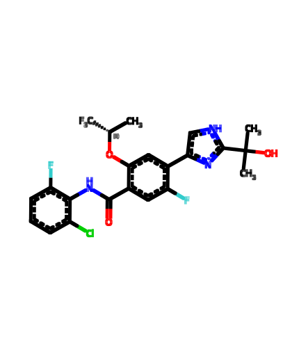 C[C@H](Oc1cc(-c2c[nH]c(C(C)(C)O)n2)c(F)cc1C(=O)Nc1c(F)cccc1Cl)C(F)(F)F